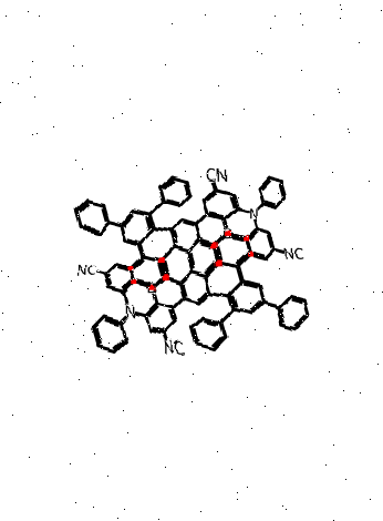 [C-]#[N+]c1ccc2c(c1)N(c1ccccc1)c1cc(C#N)cc3c1B2c1cc2c(-c4c(-c5ccccc5)cc(-c5ccccc5)cc4-c4ccccc4)cc4c5c(cc6c(-c7c(-c8ccccc8)cc(-c8ccccc8)cc7-c7ccccc7)cc-3c1c6c25)B1c2ccc(C#N)cc2N(c2ccccc2)c2cc([N+]#[C-])cc-4c21